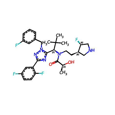 C[C@H](O)C(=O)N(CC[C@@H]1CNC[C@@H]1F)[C@@H](c1nc(-c2cc(F)ccc2F)nn1Cc1cccc(F)c1)C(C)(C)C